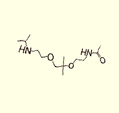 CC(=O)NCCOC(C)(C)COCCNC(C)C